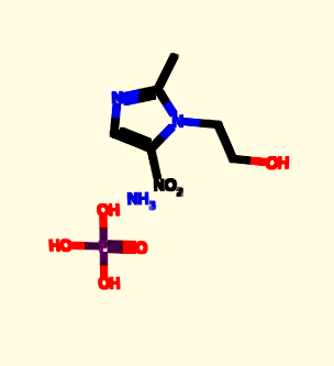 Cc1ncc([N+](=O)[O-])n1CCO.N.O=P(O)(O)O